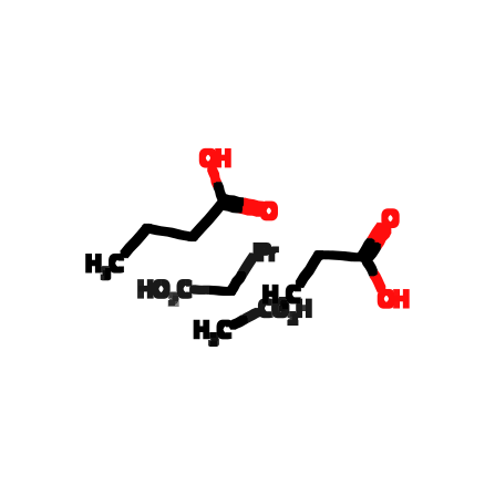 CC(=O)O.CC(C)CC(=O)O.CCC(=O)O.CCCC(=O)O